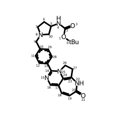 CC(C)(C)OC(=O)NC1CCN(Cc2ccc(C3=NC=C4C=CC(=O)NC5=C4N3CC5)cc2)C1